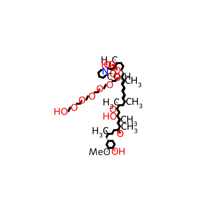 CO[C@@H]1C[C@H](C[C@@H](C)CCC(=O)[C@H](C)/C=C(\C)[C@@H](O)CC(=O)[C@H](C)C[C@H](C)/C=C/C=C/C=C(\C)C(C[C@@H]2CC[C@@H](C)C(O)(C(=O)C(=O)N3CCCC[C@H]3C(=O)O)O2)OCCOCCOCCOCCOCCOCCO)CC[C@H]1O